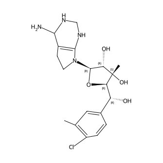 Cc1cc([C@@H](O)[C@H]2O[C@@H](N3CCC4=C3NCNC4N)[C@H](O)[C@]2(C)O)ccc1Cl